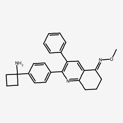 CON=C1CCCc2nc(-c3ccc(C4(N)CCC4)cc3)c(-c3ccccc3)cc21